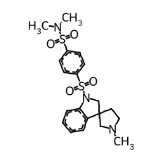 CN1CCC2(C1)CN(S(=O)(=O)c1ccc(S(=O)(=O)N(C)C)cc1)c1ccccc12